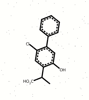 CC(C(=O)O)c1cc(Cl)c(-c2ccccc2)cc1O